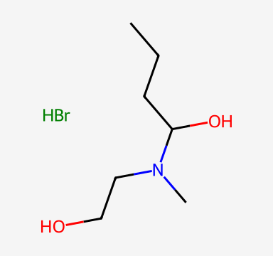 Br.CCCC(O)N(C)CCO